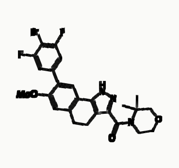 COc1cc2c(cc1-c1cc(F)c(Br)c(F)c1)-c1[nH]nc(C(=O)N3CCOCC3(C)C)c1CC2